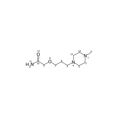 CN1CCN(CCCOCC(N)=O)CC1